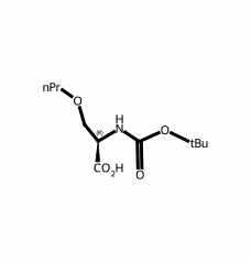 CCCOC[C@@H](NC(=O)OC(C)(C)C)C(=O)O